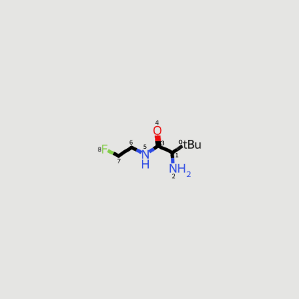 CC(C)(C)C(N)C(=O)NCCF